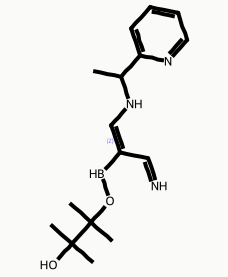 CC(N/C=C(/BOC(C)(C)C(C)(C)O)C=N)c1ccccn1